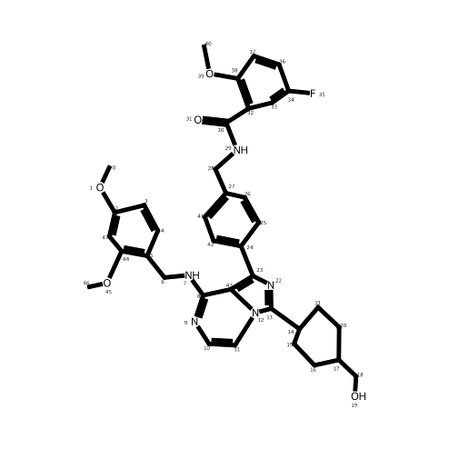 COc1ccc(CNc2nccn3c(C4CCC(CO)CC4)nc(-c4ccc(CNC(=O)c5cc(F)ccc5OC)cc4)c23)c(OC)c1